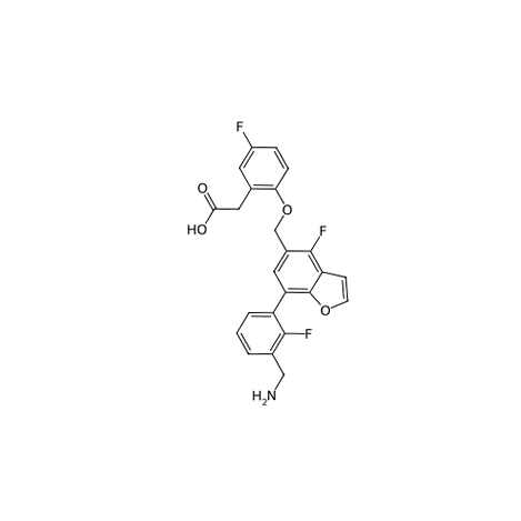 NCc1cccc(-c2cc(COc3ccc(F)cc3CC(=O)O)c(F)c3ccoc23)c1F